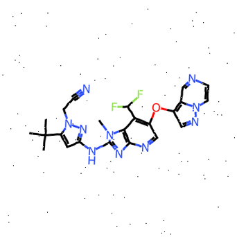 Cn1c(Nc2cc(C(C)(C)C)n(CC#N)n2)nc2ncc(Oc3cnn4ccncc34)c(C(F)F)c21